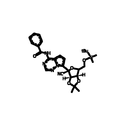 CC1(C)O[C@@H]2C(CO[Si](C)(C)C(C)(C)C)O[C@@](C#N)(c3ccc4c(NC(=O)c5ccccc5)ncnn34)[C@@H]2O1